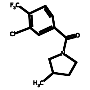 CC1CCN(C(=O)c2ccc(C(F)(F)F)c(Cl)c2)C1